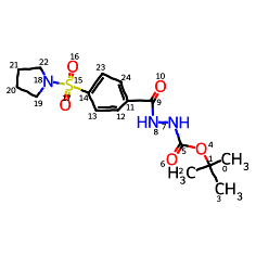 CC(C)(C)OC(=O)NNC(=O)c1ccc(S(=O)(=O)N2CCCC2)cc1